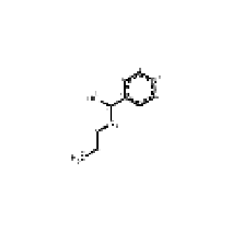 CCCSC(O)c1ccncc1